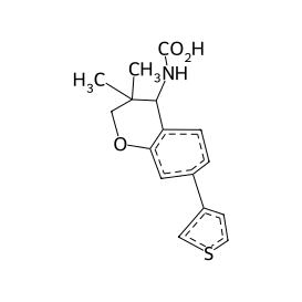 CC1(C)COc2cc(-c3ccsc3)ccc2C1NC(=O)O